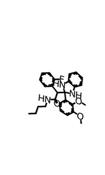 CCCCNC(=O)C(c1ccccc1F)C1(c2cccc(OC)c2OC)Nc2ccccc2N1